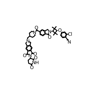 CC1(C)[C@H](Oc2ccc(C#N)c(Cl)c2)C(C)(C)[C@H]1N1Cc2cc(C(=O)N3CCC(CN4Cc5cc6c(cc5C4)C(=O)N(C4CCC(=O)NC4=O)C6=O)CC3)ccc2C1=O